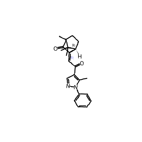 Cc1c(C(=O)/C=C2/C(=O)C3(C)CC[C@@H]2C3(C)C)cnn1-c1ccccc1